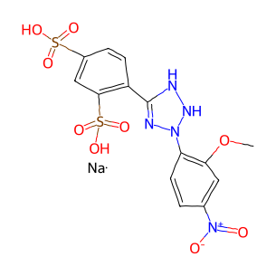 COc1cc([N+](=O)[O-])ccc1N1N=C(c2ccc(S(=O)(=O)O)cc2S(=O)(=O)O)NN1.[Na]